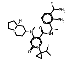 CC(I)C1(n2cc(C(=O)N[C@H](C)c3cccc(C(F)P)c3P)c(N(C)[C@@H]3CCN4CCC[C@H]4C3)cc2=O)CC1